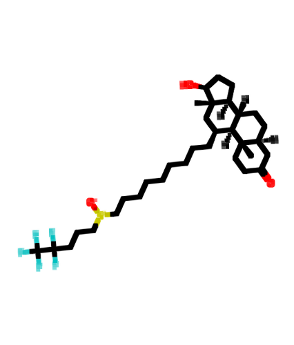 C[C@]12CCC(=O)C[C@@H]1CC[C@@H]1[C@@H]2[C@@H](CCCCCCCCC[S+]([O-])CCCC(F)(F)C(F)(F)F)C[C@]2(C)[C@@H](O)CC[C@@H]12